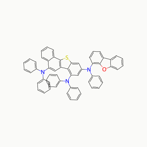 c1ccc(N(c2ccccc2)c2cc3c(sc4cc(N(c5ccccc5)c5cccc6c5oc5ccccc56)cc(N(c5ccccc5)c5ccccc5)c43)c3ccccc23)cc1